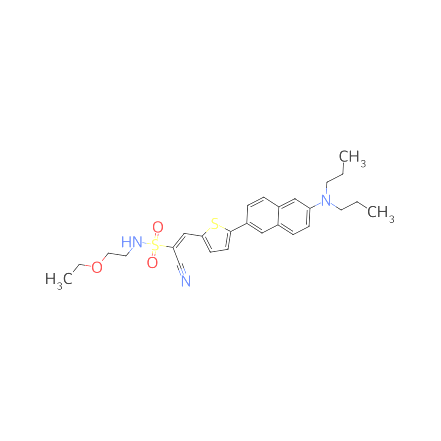 CCCN(CCC)c1ccc2cc(-c3ccc(/C=C(\C#N)S(=O)(=O)NCCOCC)s3)ccc2c1